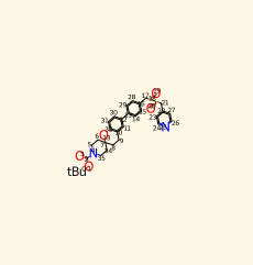 CC(C)(C)OC(=O)N1CCC2(CCc3cc(-c4ccc(CS(=O)(=O)Cc5ccncc5)cc4)ccc3O2)CC1